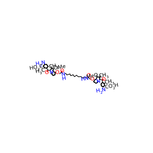 COc1c(C)c(C(=O)c2ccc(N)c(C(=O)O)c2C)n2cccc(OCC(=O)NCCCCCCCCCCCNC(=O)COc3cccn4c(C(=O)c5ccc(N)c(C(=O)O)c5C)c(C)c(OC)c34)c12